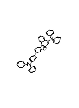 c1ccc(N(c2ccccc2)c2ccc(-c3ccc4c(c3)oc3cc(N(c5ccccc5)c5ccccc5)c5ccccc5c34)cc2)cc1